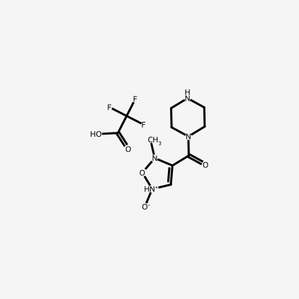 CN1O[NH+]([O-])C=C1C(=O)N1CCNCC1.O=C(O)C(F)(F)F